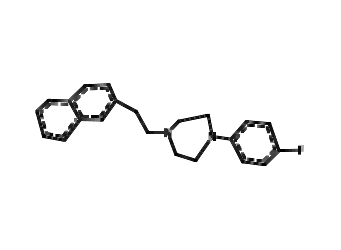 Fc1ccc(N2CCN(CCc3ccc4ccccc4c3)CC2)cc1